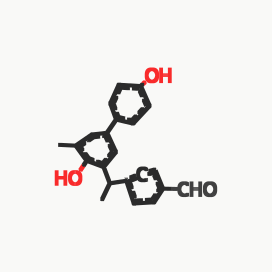 Cc1cc(-c2ccc(O)cc2)cc(C(C)c2ccc(C=O)cc2)c1O